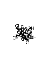 O=P(O)(O)OCC(CO)(C(CCCl)OP(=O)(O)O)C(CCCl)(CCCl)OCCCl